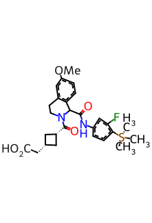 COc1ccc2c(c1)CCN(C(=O)[C@H]1C[C@@H](CC(=O)O)C1)C2C(=O)Nc1ccc(S(C)(C)C)c(F)c1